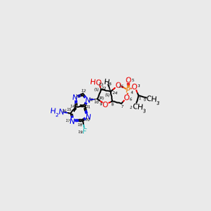 CC(C)OP1(=O)OCC2O[C@@H](n3cnc4c(N)nc(F)nc43)[C@@H](O)[C@@H]2O1